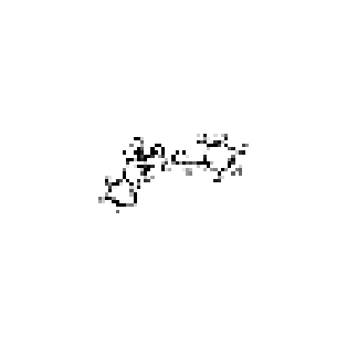 O=S(=O)(Cc1ccccc1)OCOCc1ccccc1